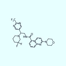 O=C(NCC(c1cnc(C(F)(F)F)nc1)N1CCCC(F)(F)C1)c1cccc2nc(N3CCOCC3)ccc12